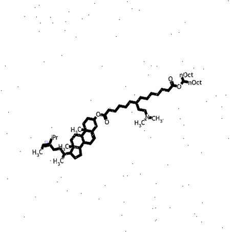 C/C=C(\CCC(C)C1CCC2C3CC=C4CC(OC(=O)CCCCCC(CCCCCCC(=O)OC(CCCCCCCC)CCCCCCCC)CCN(C)C)CCC4(C)C3CCC12C)C(C)C